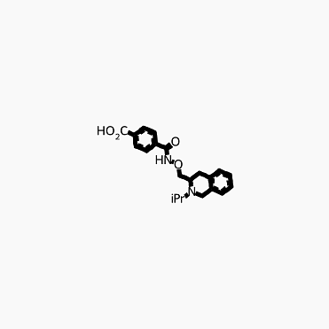 CC(C)N1Cc2ccccc2CC1CONC(=O)c1ccc(C(=O)O)cc1